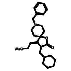 COC/C=C1\N(CC2CCCCC2)C(=O)OC12CCN(Cc1ccccc1)CC2